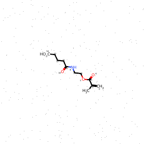 C=C(C)C(=O)OCCNC(=O)CCCC(=O)O